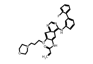 C=CC(=O)Nc1cc2c(Nc3cccc(-c4ccccc4F)c3)ncnc2cc1OCCCN1CCOCC1